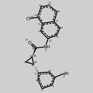 CC(C)c1cccc([C@@H]2C[C@H]2C(=O)Nc2ccc3cncc(Cl)c3c2)c1